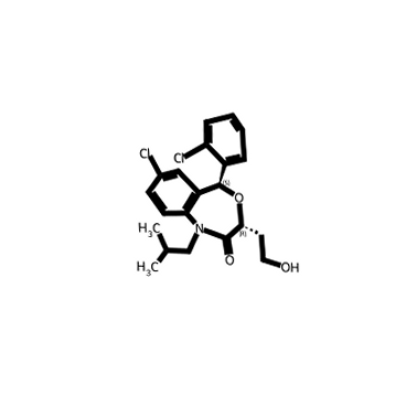 CC(C)CN1C(=O)[C@@H](CCO)O[C@H](c2ccccc2Cl)c2cc(Cl)ccc21